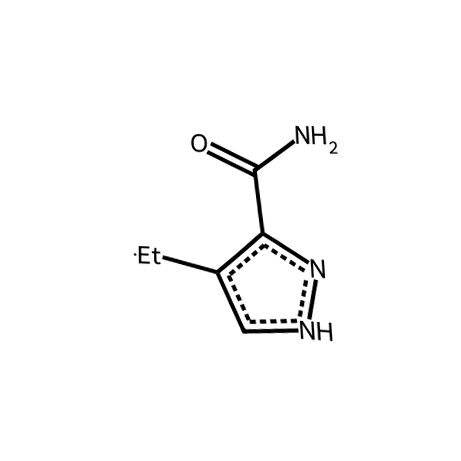 C[CH]c1c[nH]nc1C(N)=O